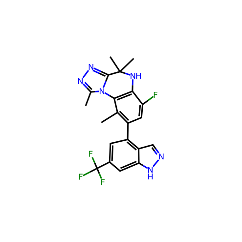 Cc1c(-c2cc(C(F)(F)F)cc3[nH]ncc23)cc(F)c2c1-n1c(C)nnc1C(C)(C)N2